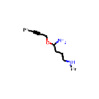 CC(C)C#CCOC(N)CCCNC(C)C